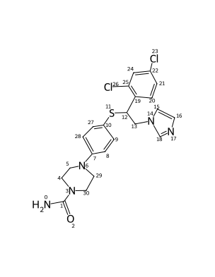 NC(=O)N1CCN(c2ccc(SC(Cn3ccnc3)c3ccc(Cl)cc3Cl)cc2)CC1